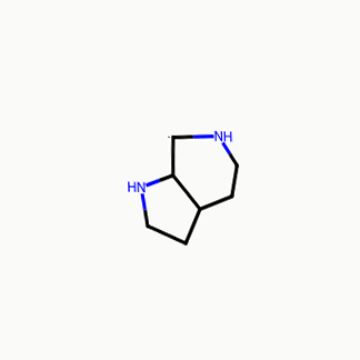 [CH]1NCCC2CCNC12